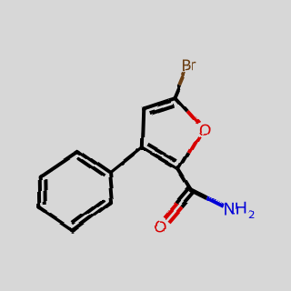 NC(=O)c1oc(Br)cc1-c1ccccc1